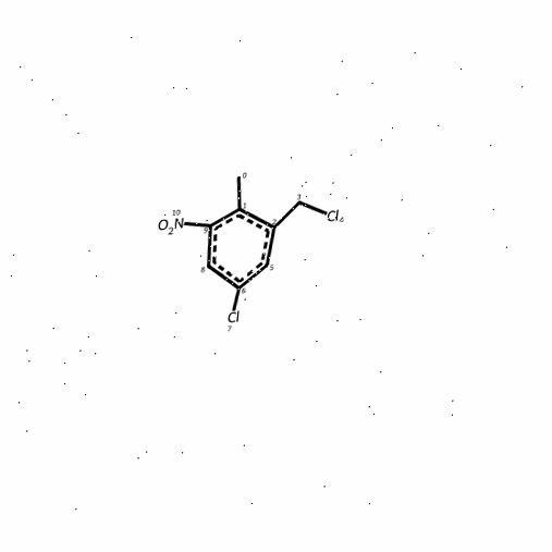 Cc1c(CCl)cc(Cl)cc1[N+](=O)[O-]